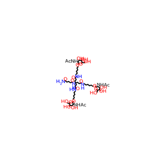 CC(=O)NC1C(OCCCCCCNC(=O)CCC(CCC(=O)NCCCCCCOC2OC(CO)C(O)C(O)C2NC(C)=O)(CCC(=O)NCCCCCCOC2OC(CO)C(O)C(O)C2NC(C)=O)NC(=O)CCCC(N)=O)OC(CO)C(O)C1O